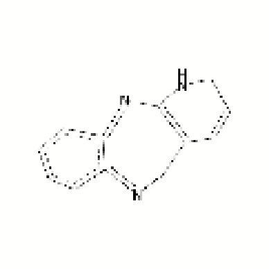 C1=CC2=C(N=c3ccccc3=NC2)NC1